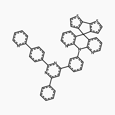 c1ccc(-c2cc(-c3cccc(N4c5ncccc5C5(c6cccnc64)c4ccsc4-c4sccc45)c3)nc(-c3ccc(-c4ccccn4)cc3)n2)cc1